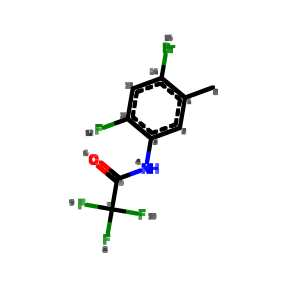 Cc1cc(NC(=O)C(F)(F)F)c(F)cc1Br